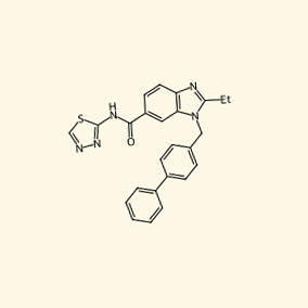 CCc1nc2ccc(C(=O)Nc3nncs3)cc2n1Cc1ccc(-c2ccccc2)cc1